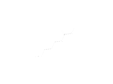 CCCCCCCCCCNC(=O)NCCCC